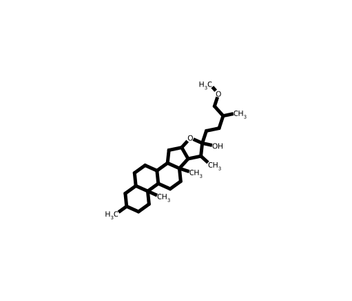 COCC(C)CCC1(O)OC2CC3C4CCC5CC(C)CCC5(C)C4CCC3(C)C2C1C